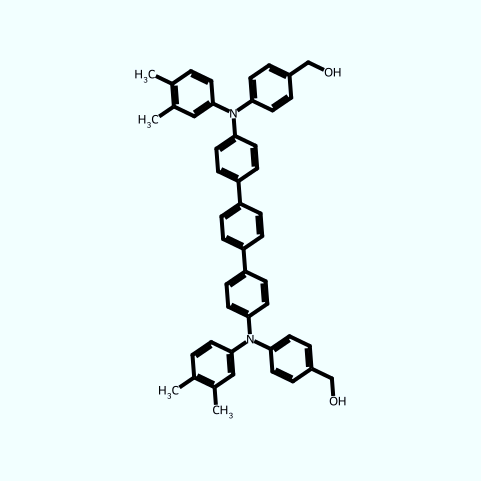 Cc1ccc(N(c2ccc(CO)cc2)c2ccc(-c3ccc(-c4ccc(N(c5ccc(CO)cc5)c5ccc(C)c(C)c5)cc4)cc3)cc2)cc1C